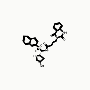 O=C(CCCn1c(=O)[nH]c2ccccc2c1=O)NC([C@@H]1C[C@@H](S)CN1)S(=O)(=O)c1ccc2ccccc2c1